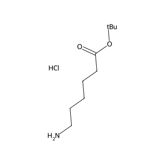 CC(C)(C)OC(=O)CCCCCN.Cl